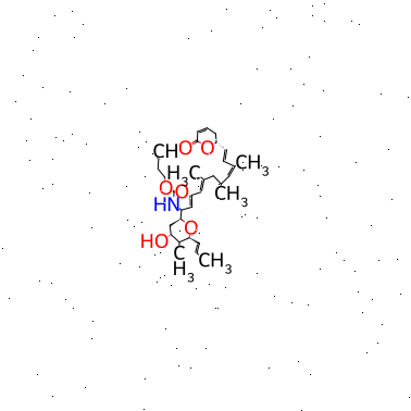 C#CCCOC(=O)N[C@@H](/C=C/C=C(\C)C[C@@H](C)/C=C(C)\C=C\[C@H]1CC=CC(=O)O1)[C@@H]1C[C@@H](O)[C@H](C)[C@H](/C=C/C)O1